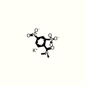 CN(C)C(=O)c1ccc([N+](=O)[O-])cc1S(=O)(=O)[O-].[K+]